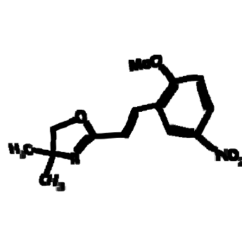 COc1ccc([N+](=O)[O-])cc1C=CC1=NC(C)(C)CO1